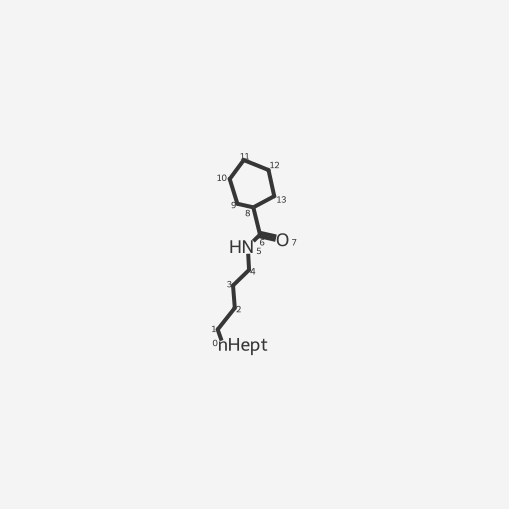 [CH2]CCCCCCCCCCNC(=O)C1CCCCC1